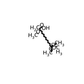 C=C(C(=O)O)C(CCCCCCCCCCC(OCC)(OCC)OCC)OCC